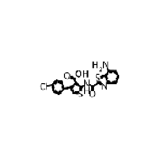 Nc1cccc2nc(C(=O)Nc3scc(-c4ccc(Cl)cc4)c3C(=O)O)sc12